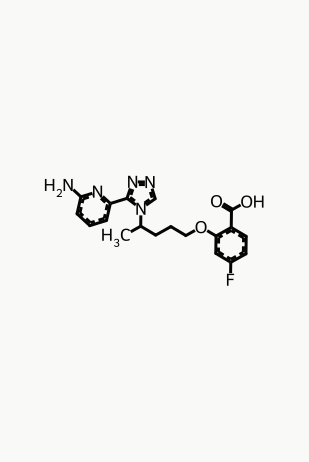 CC(CCCOc1cc(F)ccc1C(=O)O)n1cnnc1-c1cccc(N)n1